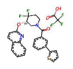 O=C(O)C(F)(F)F.O=C(c1cccc(-c2cccs2)c1)N1CCC(F)(F)[C@@H](Oc2ccc3ccccc3n2)C1